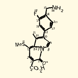 CSc1cc(C(=O)O)c(=O)n2ccc(-c3ccc(CN)c(F)c3)c(C)c12